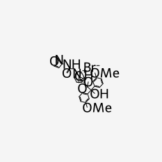 COc1cccc(C(O)(C(=O)O[C@H]2C[N+]3(CC(=O)Nc4ccon4)CCC2CC3)c2cccc(OC)c2)c1.[Br-]